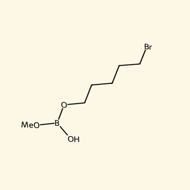 COB(O)OCCCCCBr